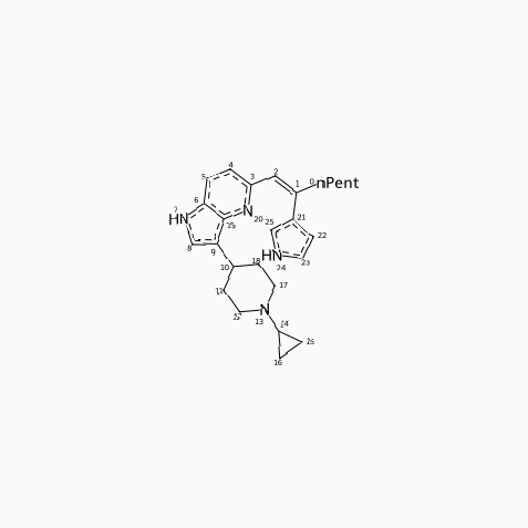 CCCCCC(=Cc1ccc2[nH]cc(C3CCN(C4CC4)CC3)c2n1)c1cc[nH]c1